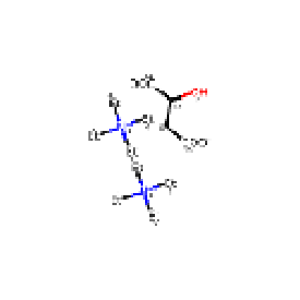 CC[N+](CC)(CC)CC.CC[N+](CC)(CC)CC.O=C([O-])CC(O)C(=O)[O-]